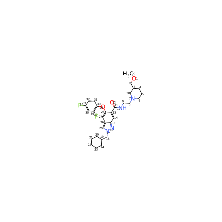 COCC1CCCN(CCNC(=O)c2cc3nn(CC4CCCCC4)cc3cc2Oc2ccc(F)cc2F)C1